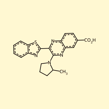 CC1CCCN1c1nc2cc(C(=O)O)ccc2nc1-c1nc2ccccc2s1